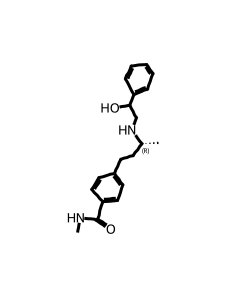 CNC(=O)c1ccc(CC[C@@H](C)NCC(O)c2ccccc2)cc1